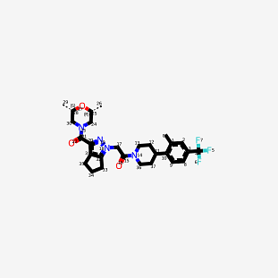 Cc1cc(C(F)(F)F)ccc1C1CCN(C(=O)Cn2nc(C(=O)N3C[C@@H](C)O[C@@H](C)C3)c3c2CCC3)CC1